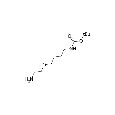 CC(C)(C)OC(=O)NCCCCOCCN